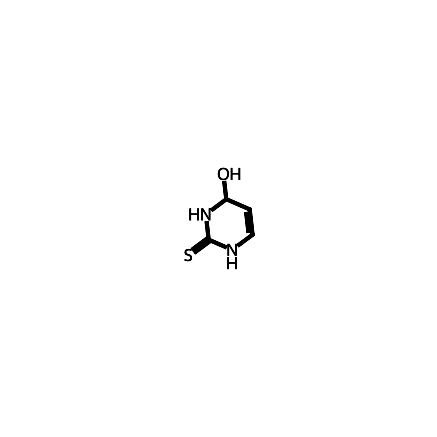 OC1C=CNC(=S)N1